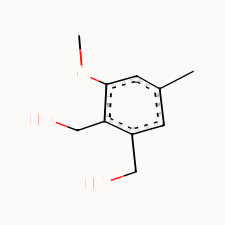 COc1cc(C)cc(CO)c1CO